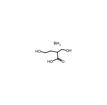 O=C(O)C(CO)CCO.[BiH3]